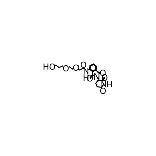 O=C1CCC(N2C(=O)c3cccc(NC(=O)COCCOCCCO)c3C2=O)C(=O)N1